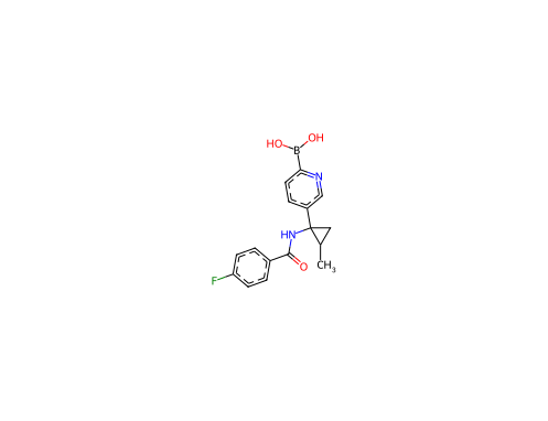 CC1CC1(NC(=O)c1ccc(F)cc1)c1ccc(B(O)O)nc1